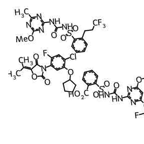 CC(C)=C1OC(=O)N(c2cc(OC3CCCC3)c(Cl)cc2F)C1=O.COc1nc(C)nc(NC(=O)NS(=O)(=O)c2ccccc2CCC(F)(F)F)n1.O=C(Nc1nc(OC(F)F)cc(OC(F)F)n1)NS(=O)(=O)c1ccccc1C(=O)O